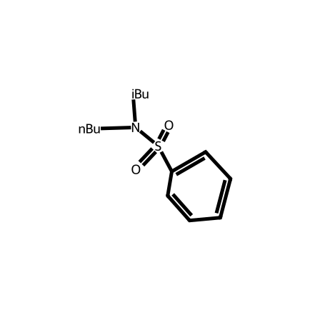 CCCCN(C(C)CC)S(=O)(=O)c1ccccc1